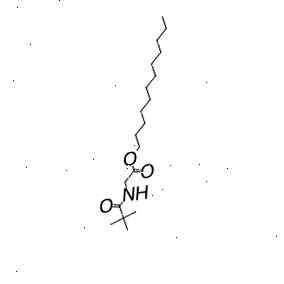 CCCCCCCCCCCCOC(=O)CNC(=O)C(C)(C)C